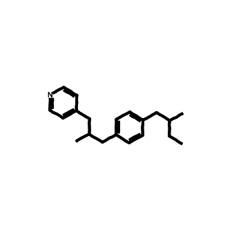 CCC(C)Cc1ccc(CC(C)Cc2ccncc2)cc1